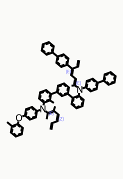 C=C/C=C\C(C)=C(/C)N(c1ccc(Oc2ccccc2C)cc1)c1cccc(-c2cccc(-c3ccccc3N(/C(C)=C/C=C(\C=C)c3ccc(-c4ccccc4)cc3)c3ccc(-c4ccccc4)cc3)c2)c1C